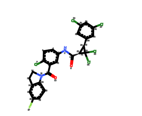 O=C(Nc1ccc(Cl)c(C(=O)N2CCc3cc(F)ccc32)c1)[C@@H]1[C@@H](c2cc(Cl)cc(Cl)c2)C1(Cl)Cl